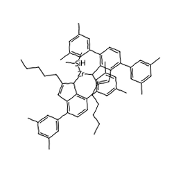 CCCCCC1=Cc2c(-c3cc(C)cc(C)c3)ccc(-c3cc(C)cc(C)c3)c2[CH]1[Zr]([CH]1C(CCCCC)=Cc2c(-c3cc(C)cc(C)c3)ccc(-c3cc(C)cc(C)c3)c21)[SiH](C)C